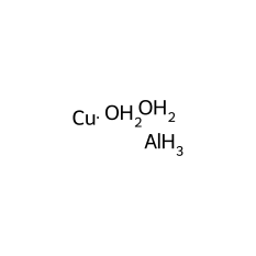 O.O.[AlH3].[Cu]